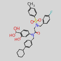 Cc1ccc(S(=O)(=O)N(CC(=O)N(Cc2ccc(C3CCCCC3)cc2)c2ccc(C(O)O)c(O)c2)Cc2ccc(F)cc2)cc1